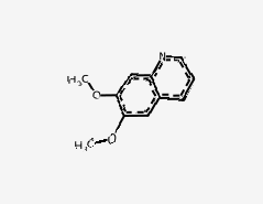 COc1cc2cc[c]nc2cc1OC